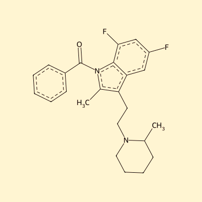 Cc1c(CCN2CCCCC2C)c2cc(F)cc(F)c2n1C(=O)c1ccccc1